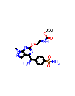 Cn1ncc2c(C(N)c3ccc(S(N)(=O)=O)cc3)nc(OCCNC(=O)OC(C)(C)C)nc21